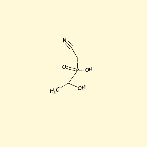 CC(O)P(=O)(O)CC#N